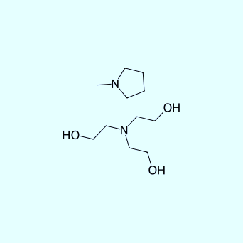 CN1CCCC1.OCCN(CCO)CCO